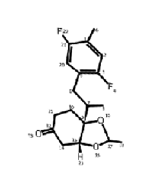 Cc1cc(F)c(CC(C)[C@]23CCC(=O)C[C@H]2OC(C)O3)cc1F